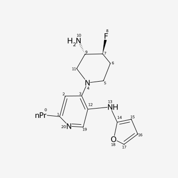 CCCc1cc(N2CC[C@H](F)[C@@H](N)C2)c(Nc2ccco2)cn1